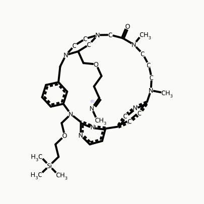 C/N=C/CCOCC1CN2CCN1Cc1cccc(c1)N(COCC[Si](C)(C)C)c1nccc(n1)-c1ccc(nc1)N(C)CCCN(C)C(=O)C2